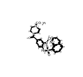 O=C(O)N1CCN(C(=O)c2ccc(NS(=O)(=O)c3cccc4cccnc34)c(OC(F)(F)F)c2)CC1